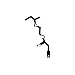 CCC(C)OCCOC(=O)CC#N